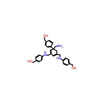 NCC1(c2ccc(CO)cc2)C=C(CNc2ccc(CO)cc2)C=C(CNc2ccc(CO)cc2)C1